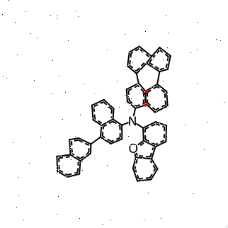 c1ccc(-c2cccc3cccc(-c4ccc(N(c5ccc(-c6ccc7ccccc7c6)c6ccccc56)c5cccc6c5oc5ccccc56)cc4)c23)cc1